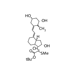 C=C1C(=CC=C2CCC[C@@]3(C)[C@H]2C[C@H](O)[C@@H]3C(SC)C(=O)OC(C)(C)C)C[C@@H](O)C[C@@H]1O